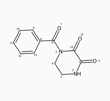 O=C1NCCN(C(=O)c2ccccc2)C1=O